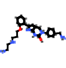 NCCNCCCOc1ccccc1-c1cc2cn(-c3ccc(CN)cc3)c(=O)nc2[nH]1